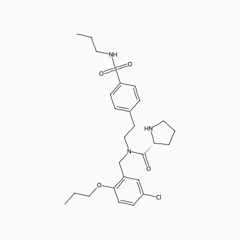 CCCNS(=O)(=O)c1ccc(CCN(Cc2cc(Cl)ccc2OCCC)C(=O)[C@H]2CCCN2)cc1